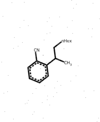 CCCCCCCC(C)c1ccccc1C#N